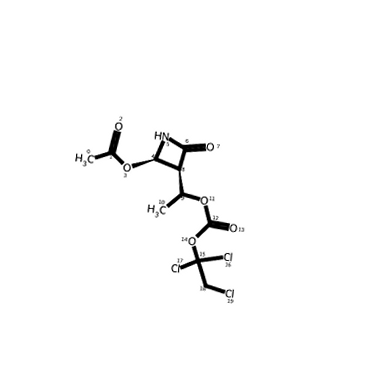 CC(=O)O[C@H]1NC(=O)[C@H]1C(C)OC(=O)OC(Cl)(Cl)CCl